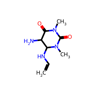 C=CNC1C(N)C(=O)N(C)C(=O)N1C